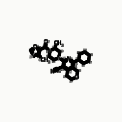 Cc1ncoc1C(=O)N1CCN(c2nc(C3CCCCC3)c3c(c2C#N)CCOC3)CC1C